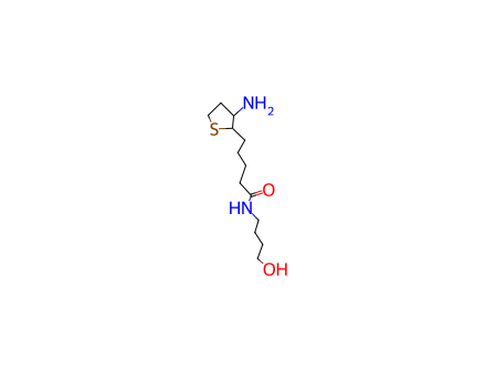 NC1CCSC1CCCCC(=O)NCCCCO